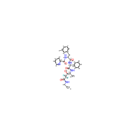 Cc1cccc(CC(NC(=O)c2ccccn2)C(=O)NC(C(=O)NC(C(=O)C(F)(F)C(=O)NCC(F)(F)F)C(C)C)c2ccccc2)c1